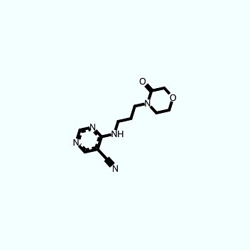 N#Cc1cncnc1NCCCN1CCOCC1=O